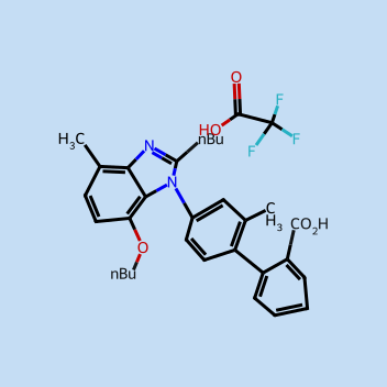 CCCCOc1ccc(C)c2nc(CCCC)n(-c3ccc(-c4ccccc4C(=O)O)c(C)c3)c12.O=C(O)C(F)(F)F